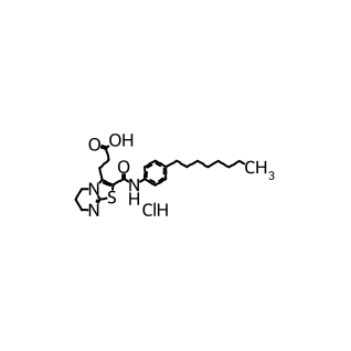 CCCCCCCCc1ccc(NC(=O)C2=C(CCC(=O)O)N3CCCN=C3S2)cc1.Cl